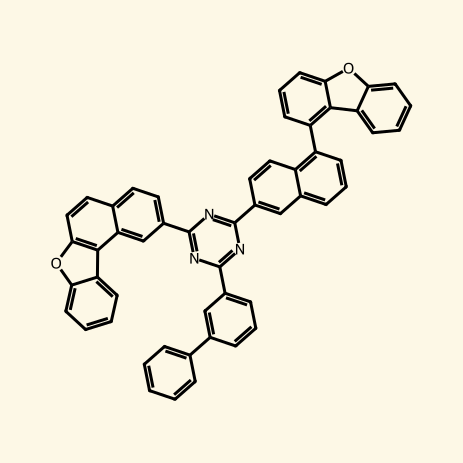 c1ccc(-c2cccc(-c3nc(-c4ccc5c(-c6cccc7oc8ccccc8c67)cccc5c4)nc(-c4ccc5ccc6oc7ccccc7c6c5c4)n3)c2)cc1